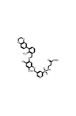 COC(=O)CCNS(=O)(=O)c1cncc(COc2cc(OCc3cccc(-c4ccc5c(c4)OCCO5)c3C)c(Cl)cc2C=O)c1